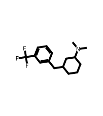 CN(C)C1CCCC(Cc2cccc(C(F)(F)F)c2)C1